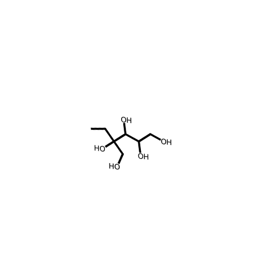 CCC(O)(CO)C(O)C(O)CO